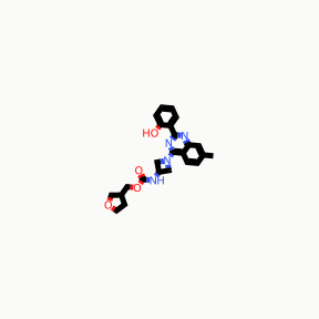 Cc1ccc2c(N3CC(NC(=O)OCC4CCOC4)C3)nc(-c3ccccc3O)nc2c1